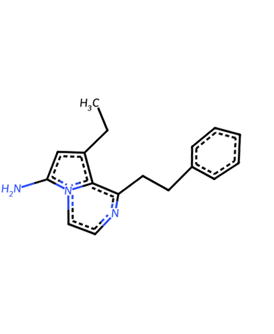 CCc1cc(N)n2ccnc(CCc3ccccc3)c12